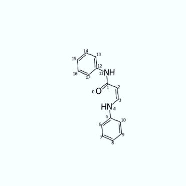 O=C(/C=C\Nc1ccccc1)Nc1ccccc1